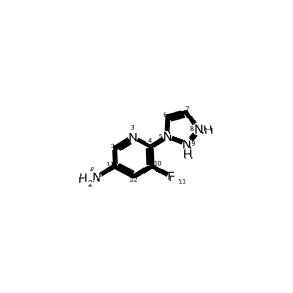 Nc1cnc(N2C=CNN2)c(F)c1